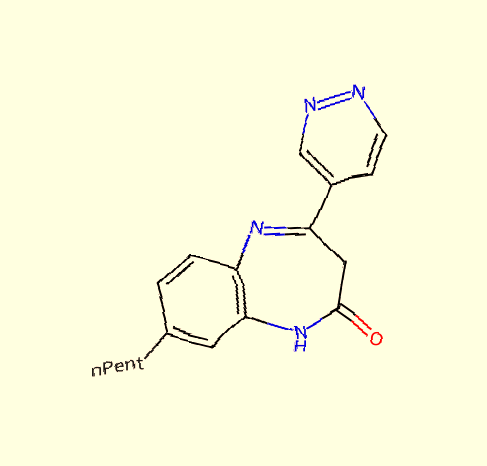 CCCCCc1ccc2c(c1)NC(=O)CC(c1ccnnc1)=N2